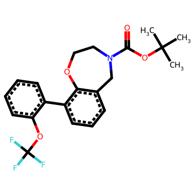 CC(C)(C)OC(=O)N1CCOc2c(cccc2-c2ccccc2OC(F)(F)F)C1